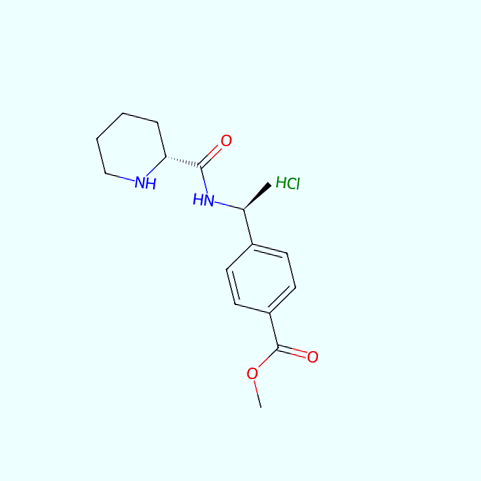 COC(=O)c1ccc([C@H](C)NC(=O)[C@H]2CCCCN2)cc1.Cl